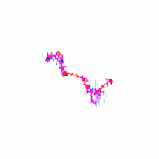 Cc1c(-c2ccc(N3CCc4cccc(C(=O)Nc5nc6ccccc6s5)c4C3)nc2C(=O)O)cnn1CC12CC3CC(C1)CC(OCCOCCOCCN(C)C(=O)OCc1ccc(NC(=O)[C@H](CCCNC(N)=O)NC(=O)[C@@H](NC(=O)COCCOCCN4C(=O)C=CC4=O)C(C)C)cc1)(C3)C2